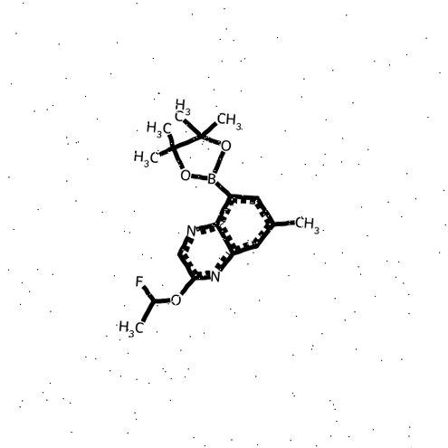 Cc1cc(B2OC(C)(C)C(C)(C)O2)c2ncc(OC(C)F)nc2c1